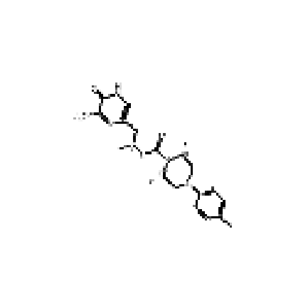 Cc1cnc(N2C[C@@H](C)N(C(=O)O[C@@H](C)Cc3c[nH]c(=O)c(C(F)(F)F)c3)[C@@H](C)C2)nc1